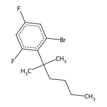 CCCCC(C)(C)c1c(F)cc(F)cc1Br